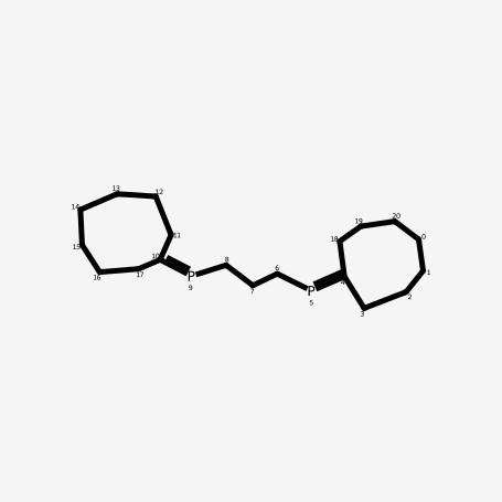 C1CCCC(=PCCCP=C2CCCCCCC2)CCC1